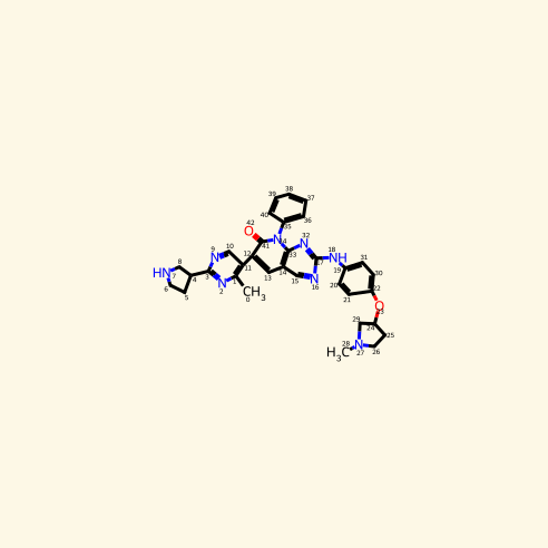 Cc1nc(C2CCNC2)ncc1-c1cc2cnc(Nc3ccc(OC4CCN(C)C4)cc3)nc2n(-c2ccccc2)c1=O